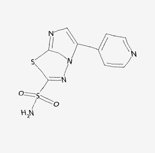 NS(=O)(=O)c1nn2c(-c3ccncc3)cnc2s1